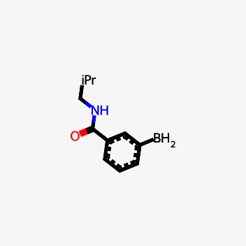 Bc1cccc(C(=O)NCC(C)C)c1